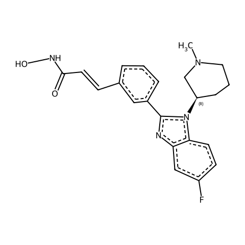 CN1CCC[C@@H](n2c(-c3cccc(C=CC(=O)NO)c3)nc3cc(F)ccc32)C1